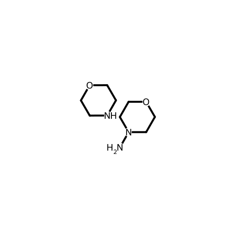 C1COCCN1.NN1CCOCC1